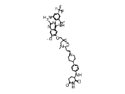 COc1cc2nc(C)nc(N[C@H](C)c3cc(N)cc(C(F)(F)F)c3)c2cc1OCC1(CN(C)C(=O)CCN2CCC(c3ccc(NC4CCC(=O)NC4=O)cc3)CC2)CC1